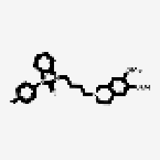 COc1cc2c(cc1OC)CN(CCCCn1c(=O)n(-c3ccc(F)cc3)c3ccccc31)CC2